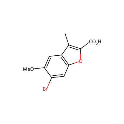 COc1cc2c(C)c(C(=O)O)oc2cc1Br